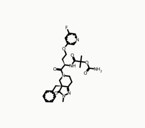 CN1N=C2CCN(C(=O)[C@@H](CCOc3cncc(F)c3)NC(=O)C(C)(C)OC(N)=O)C[C@@]2(Cc2ccccc2)C1=O